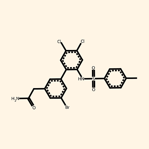 Cc1ccc(S(=O)(=O)Nc2cc(Cl)c(Cl)cc2-c2cc(Br)cc(CC(N)=O)c2)cc1